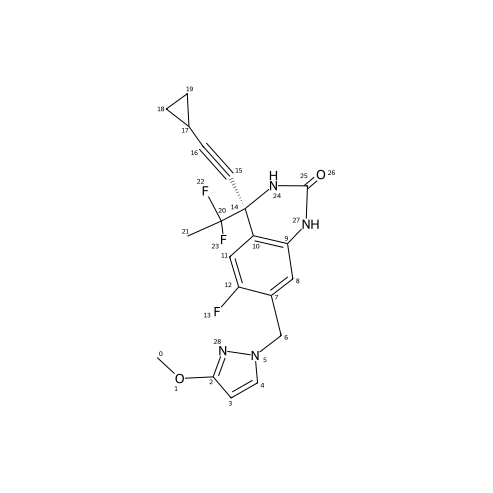 COc1ccn(Cc2cc3c(cc2F)[C@@](C#CC2CC2)(C(C)(F)F)NC(=O)N3)n1